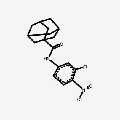 O=C(Nc1ccc([N+](=O)[O-])c(Cl)c1)C12CC3CC(CC(C3)C1)C2